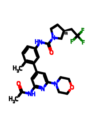 CC(=O)Nc1cc(-c2cc(NC(=O)N3CC[C@@H](CC(F)(F)F)C3)ccc2C)cc(N2CCOCC2)n1